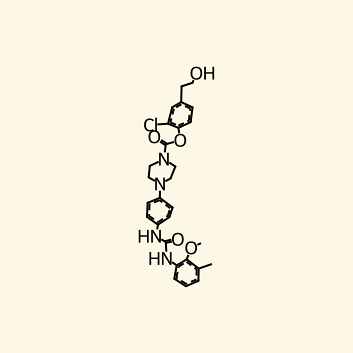 COc1c(C)cccc1NC(=O)Nc1ccc(N2CCN(C(=O)Oc3ccc(CCO)cc3Cl)CC2)cc1